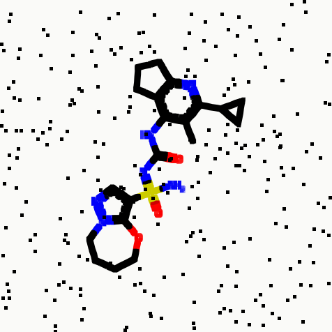 Cc1c(C2CC2)nc2c(c1NC(=O)N=S(N)(=O)c1cnn3c1OCCCC3)CCC2